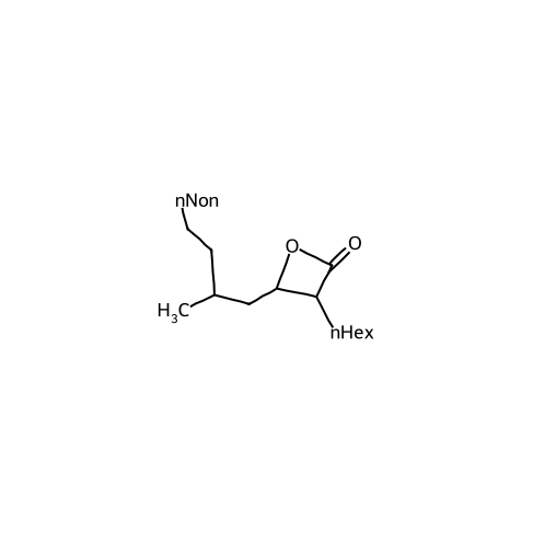 CCCCCCCCCCCC(C)CC1OC(=O)C1CCCCCC